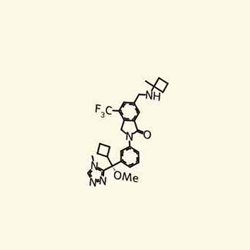 CO[C@](c1cccc(N2Cc3c(cc(CNC4(C)CCC4)cc3C(F)(F)F)C2=O)c1)(c1nncn1C)C1CCC1